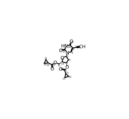 C#Cc1cn([C@H]2C[C@H](OC(=O)C3CC3)[C@@H](COC(=O)C3CC3)O2)c(=O)[nH]c1=O